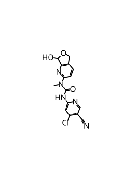 CN(C(=O)Nc1cc(Cl)c(C#N)cn1)c1ccc2c(n1)C(O)OC2